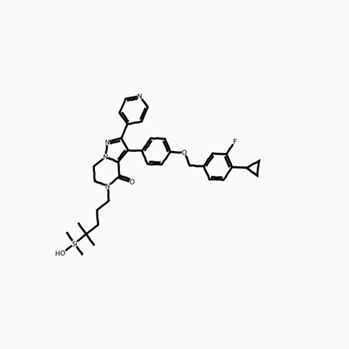 CC(C)(CCCN1CCn2nc(-c3ccncc3)c(-c3ccc(OCc4ccc(C5CC5)c(F)c4)cc3)c2C1=O)[Si](C)(C)O